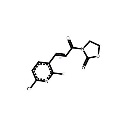 O=C(/C=C/c1ccc(Cl)nc1F)N1CCOC1=O